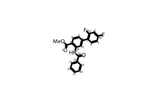 COC(=O)c1ccc(-c2ccc(F)cc2F)cc1NC(=O)c1ccccc1